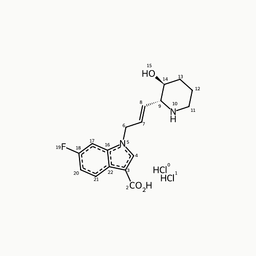 Cl.Cl.O=C(O)c1cn(C/C=C/[C@H]2NCCC[C@@H]2O)c2cc(F)ccc12